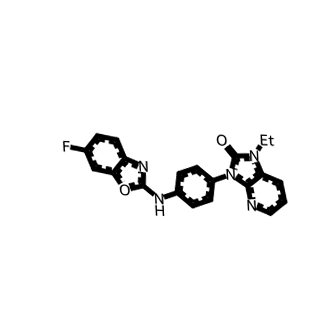 CCn1c(=O)n(-c2ccc(Nc3nc4ccc(F)cc4o3)cc2)c2ncccc21